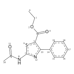 CCOC(=O)c1sc(NC(C)=O)nc1-c1ccccc1